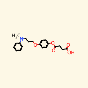 CN(CCCOc1ccc(OC(=O)CCC(=O)O)cc1)c1ccccc1